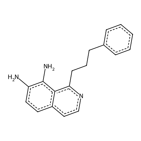 Nc1ccc2ccnc(CCCc3ccccc3)c2c1N